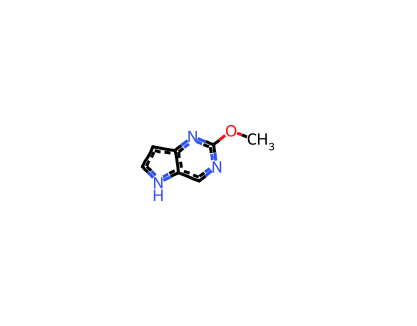 COc1ncc2[nH]ccc2n1